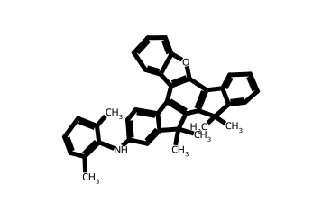 Cc1cccc(C)c1Nc1ccc2c(c1)C(C)(C)c1c3c(c4oc5ccccc5c4c1-2)-c1ccccc1C3(C)C